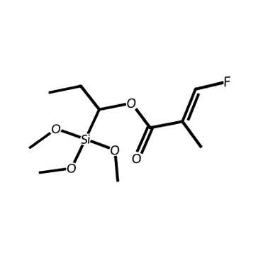 CCC(OC(=O)C(C)=CF)[Si](OC)(OC)OC